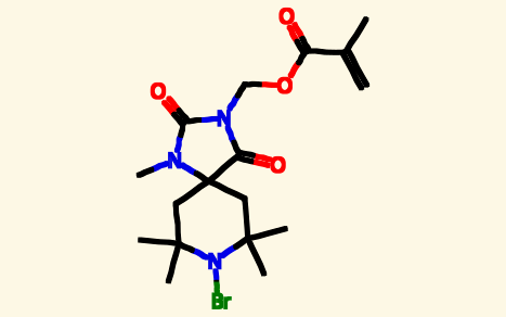 C=C(C)C(=O)OCN1C(=O)N(C)C2(CC(C)(C)N(Br)C(C)(C)C2)C1=O